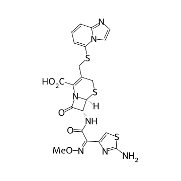 CO/N=C(\C(=O)N[C@@H]1C(=O)N2C(C(=O)O)=C(CSc3cccc4nccn34)CS[C@@H]12)c1csc(N)n1